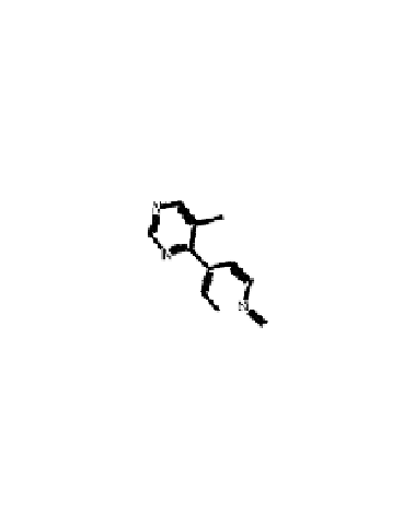 C=N/C=C\C(=C/C)c1ncncc1C